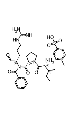 CC[C@H](C)[C@@H](N)C(=O)N1CCC[C@H]1C(=O)N(C(=O)c1ccccc1)[C@H](C=O)CCCNC(=N)N.Cc1ccc(S(=O)(=O)O)cc1